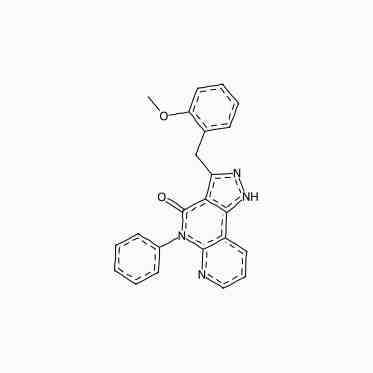 COc1ccccc1Cc1n[nH]c2c1c(=O)n(-c1ccccc1)c1ncccc21